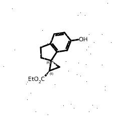 CCOC(=O)[C@@H]1C[C@]12CCc1ccc(O)cc12